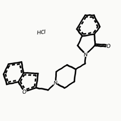 Cl.O=C1c2ccccc2CN1CC1CCN(Cc2cc3ccccc3o2)CC1